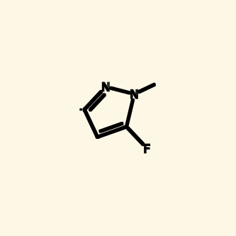 Cn1n[c]cc1F